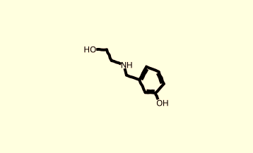 OCCNCc1cccc(O)c1